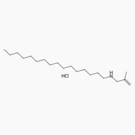 C=C(C)CNCCCCCCCCCCCCCCCC.Cl